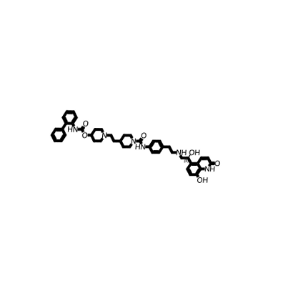 O=C(Nc1ccccc1-c1ccccc1)OC1CCN(CCC2CCN(C(=O)Nc3ccc(CCNC[C@H](O)c4ccc(O)c5[nH]c(=O)ccc45)cc3)CC2)CC1